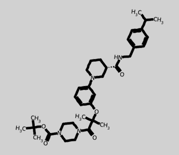 CC(C)c1ccc(CNC(=O)[C@H]2CCCN(c3cccc(OC(C)(C)C(=O)N4CCN(C(=O)OC(C)(C)C)CC4)c3)C2)cc1